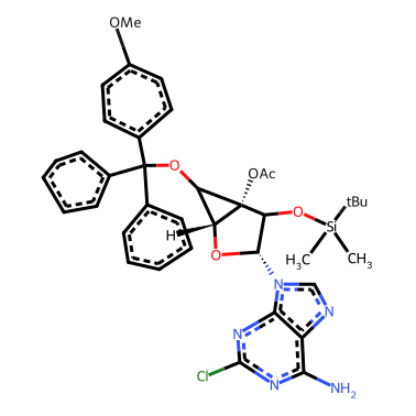 COc1ccc(C(OC2[C@H]3O[C@@H](n4cnc5c(N)nc(Cl)nc54)C(O[Si](C)(C)C(C)(C)C)[C@]23OC(C)=O)(c2ccccc2)c2ccccc2)cc1